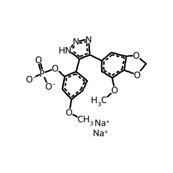 COc1ccc(-c2[nH]nnc2-c2cc(OC)c3c(c2)OCO3)c(OP(=O)([O-])[O-])c1.[Na+].[Na+]